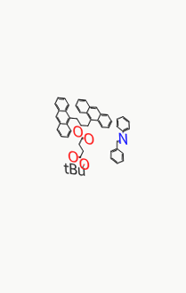 C(=N\c1ccccc1)/c1ccccc1.CC(C)(C)OC(=O)CCC(=O)OC(Cc1c2ccccc2cc2ccccc12)Cc1c2ccccc2cc2ccccc12